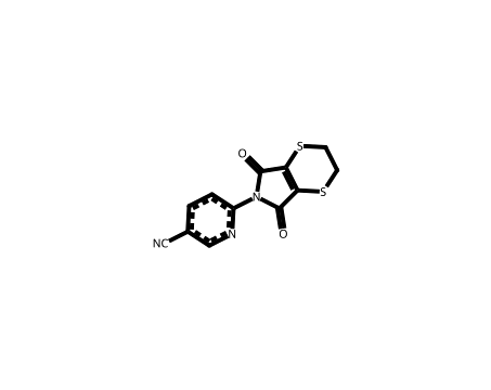 N#Cc1ccc(N2C(=O)C3=C(SCCS3)C2=O)nc1